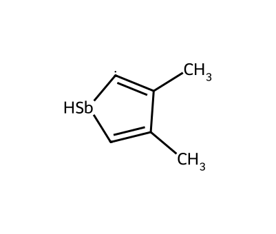 CC1=[C][SbH][CH]=C1C